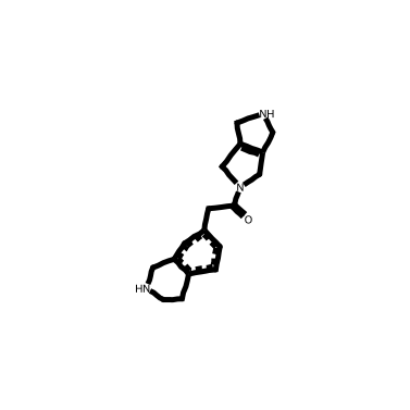 O=C(Cc1ccc2c(c1)CNCC2)N1CC2=C(CNC2)C1